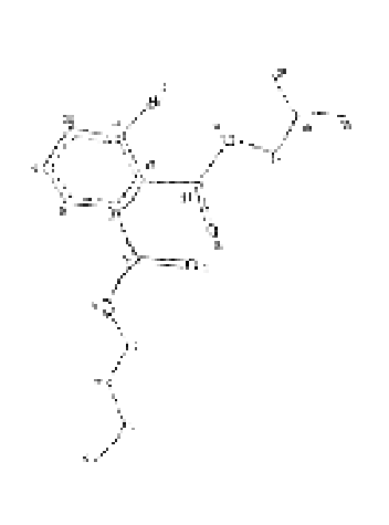 CCCCOC(=O)c1cccc(Br)c1C(=O)OCC(C)C